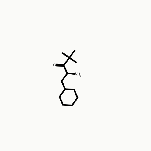 CC(C)(C)C(=O)[C@@H](N)CC1CCCCC1